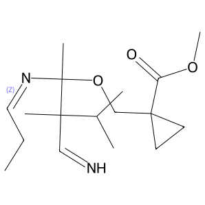 CC/C=N\C(C)(OCC1(C(=O)OC)CC1)C(C)(C=N)C(C)C